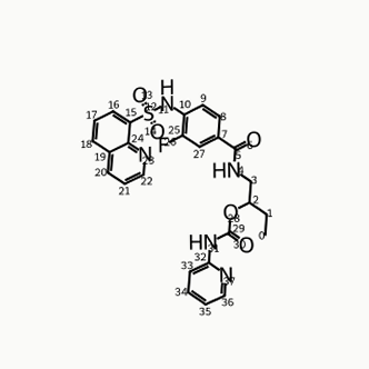 CCC(CNC(=O)c1ccc(NS(=O)(=O)c2cccc3cccnc23)c(F)c1)OC(=O)Nc1ccccn1